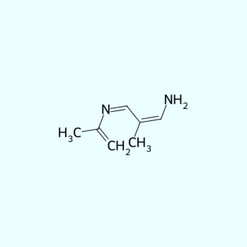 C=C(C)/N=C\C(C)=C/N